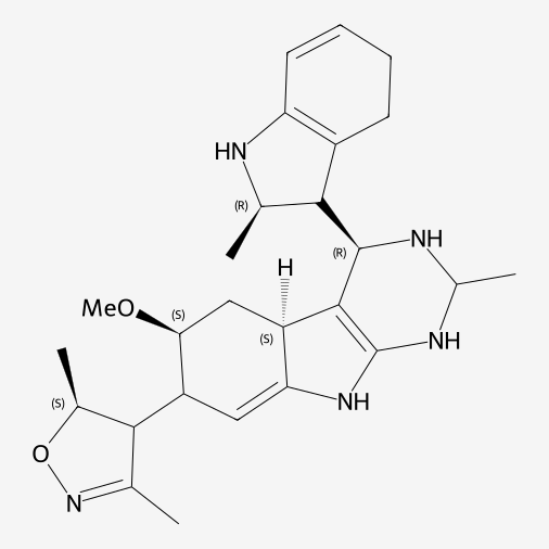 CO[C@H]1C[C@@H]2C(=CC1C1C(C)=NO[C@H]1C)NC1=C2[C@@H](C2C3=C(C=CCC3)N[C@@H]2C)NC(C)N1